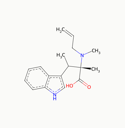 C=CCN(C)[C@](C)(C(=O)O)C(C)c1c[nH]c2ccccc12